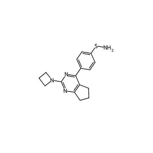 NSc1ccc(-c2nc(N3CCC3)nc3c2CCC3)cc1